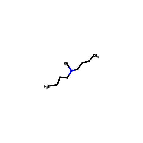 CCCC[N]([Zn])CCCC